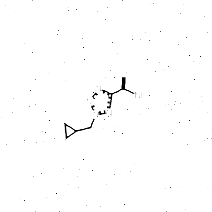 NC(=O)c1nnn(CC2CC2)n1